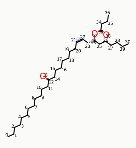 CCCCCCCCCCCCC(=O)CCCCCCC/C=C\C[C@@H](CCCCCC)OC(=O)CCC